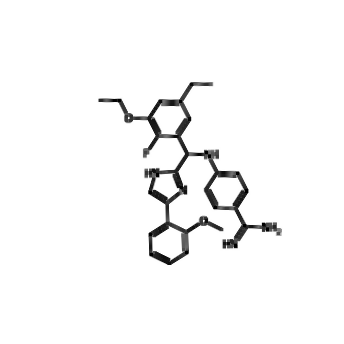 CCOc1cc(CC)cc(C(Nc2ccc(C(=N)N)cc2)c2nc(-c3ccccc3OC)c[nH]2)c1F